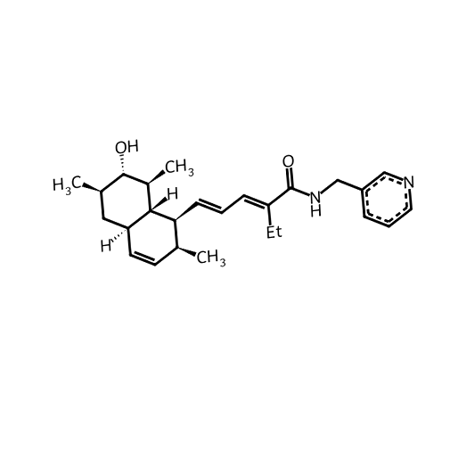 CC/C(=C\C=C\[C@@H]1[C@H]2[C@H](C)[C@@H](O)[C@H](C)C[C@@H]2C=C[C@@H]1C)C(=O)NCc1cccnc1